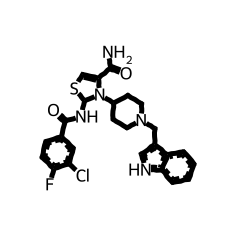 NC(=O)C1=CSC(NC(=O)c2ccc(F)c(Cl)c2)N1C1CCN(Cc2c[nH]c3ccccc23)CC1